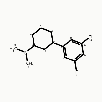 CN(C)C1CCCC(c2cc(F)cc(Cl)c2)C1